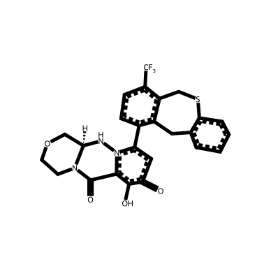 O=C1c2c(O)c(=O)cc(-c3ccc(C(F)(F)F)c4c3Cc3ccccc3SC4)n2N[C@@H]2COCCN12